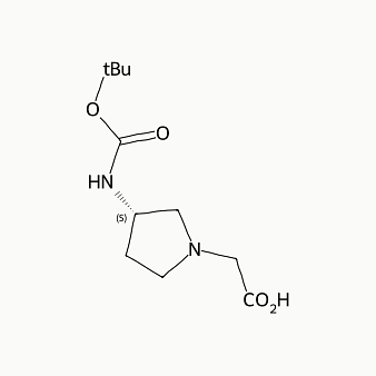 CC(C)(C)OC(=O)N[C@H]1CCN(CC(=O)O)C1